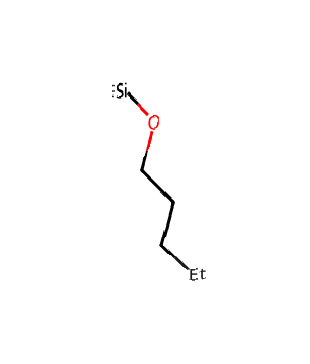 CCCCCO[Si]